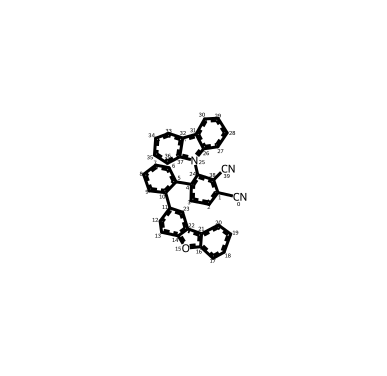 N#Cc1ccc(-c2ccccc2-c2ccc3oc4ccccc4c3c2)c(-n2c3ccccc3c3ccccc32)c1C#N